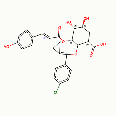 O=C(/C=C/c1ccc(O)cc1)O[C@H]1C(OC(=C2CC2)c2ccc(Cl)cc2)[C@@H](C(=O)O)C[C@H](O)[C@H]1O